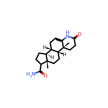 C[C@]12CCC(=O)NC1=CC[C@@H]1[C@H]2CC[C@]2(C)C(C(N)=O)CC[C@@H]12